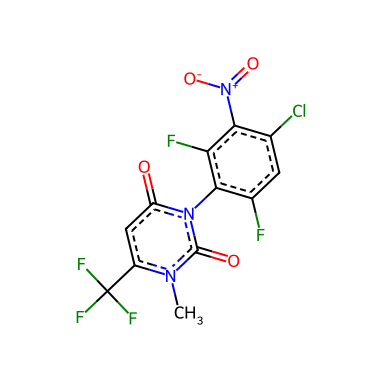 Cn1c(C(F)(F)F)cc(=O)n(-c2c(F)cc(Cl)c([N+](=O)[O-])c2F)c1=O